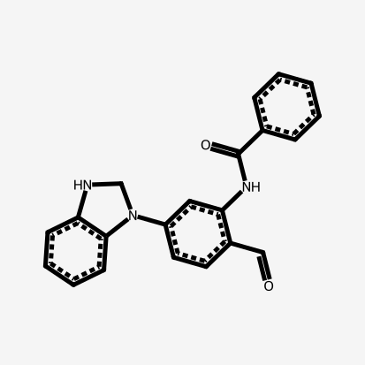 O=Cc1ccc(N2CNc3ccccc32)cc1NC(=O)c1ccccc1